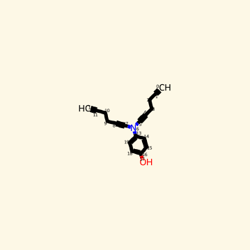 C#CCCC#CN(C#CCCC#C)c1ccc(O)cc1